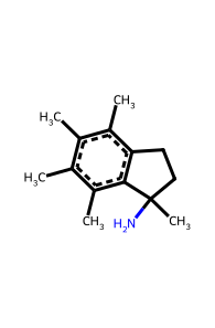 Cc1c(C)c(C)c2c(c1C)CCC2(C)N